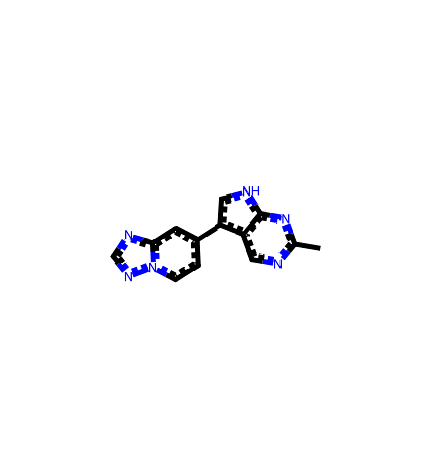 Cc1ncc2c(-c3ccn4ncnc4c3)c[nH]c2n1